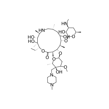 CC[C@H]1OC(=O)[C@H](C)[C@@H](O[C@H]2C[C@@](C)(OC)[C@](O)(CN3CCN(C)CC3)[C@H](C)O2)[C@H](C)[C@@H](O[C@@H]2O[C@H](C)C[C@H](NC)[C@H]2O)[C@](C)(O)C[C@@H](C)CN[C@H](C)[C@@H](O)[C@]1(C)O